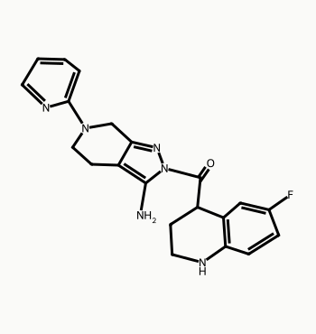 Nc1c2c(nn1C(=O)C1CCNc3ccc(F)cc31)CN(c1ccccn1)CC2